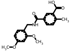 COc1ccc(CNC(=O)c2ccc(C)c(C(=O)O)c2)c(OC)c1